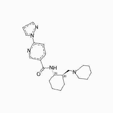 O=C(N[C@H]1CCCC[C@@H]1CN1CCCCC1)c1ccc(-n2cccn2)nc1